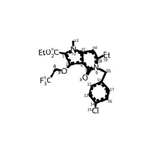 CCOC(=O)c1c(OCC(F)(F)F)c2c(=O)n(Cc3ccc(Cl)cc3)c(CC)cc2n1C